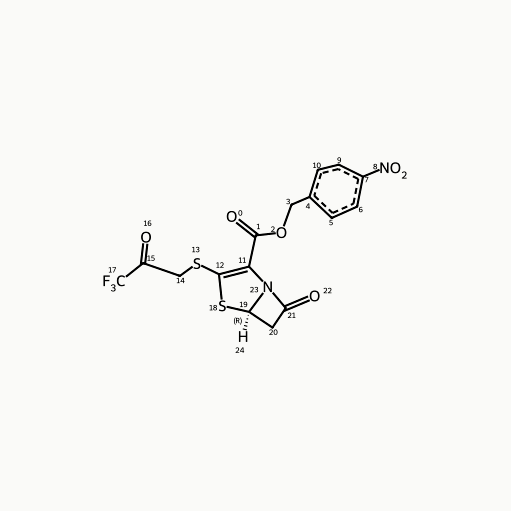 O=C(OCc1ccc([N+](=O)[O-])cc1)C1=C(SCC(=O)C(F)(F)F)S[C@@H]2CC(=O)N12